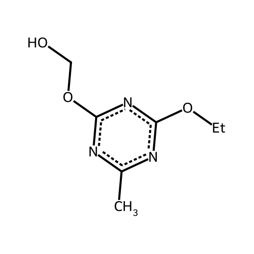 CCOc1nc(C)nc(OCO)n1